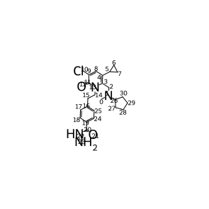 CN(Cc1c(C2CC2)cc(Cl)c(=O)n1CCc1ccc(C(=O)NN)cc1)C1CCCC1